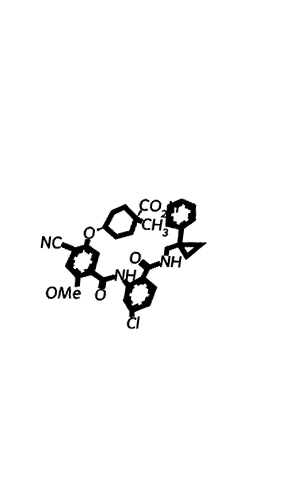 COc1cc(C#N)c(O[C@H]2CC[C@@](C)(C(=O)O)CC2)cc1C(=O)Nc1cc(Cl)ccc1C(=O)NCC1(c2ccccc2)CC1